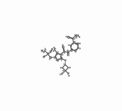 CC(F)(F)Oc1nn(CC2CC(F)(F)C2)c(C(=O)Nc2ccnc(C(N)=O)c2)c1C(F)(F)F